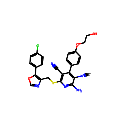 [C-]#[N+]c1c(N)nc(SCc2ncoc2-c2ccc(Cl)cc2)c(C#N)c1-c1ccc(OCCO)cc1